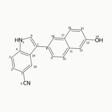 N#Cc1ccc2[nH]cc(-c3ccc4cc(O)ccc4c3)c2c1